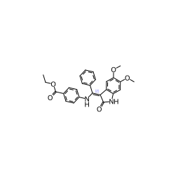 CCOC(=O)c1ccc(N/C(=C2\C(=O)Nc3cc(OC)c(OC)cc32)c2ccccc2)cc1